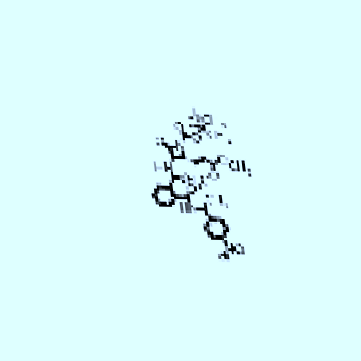 COC(C=C[C@@H]1[C@H](NC(=O)c2ccccc2C(=O)NC(C)c2ccc([N+](=O)[O-])cc2)C(=O)N1C(=O)OC(C)(C)C)OC